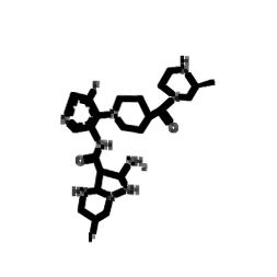 C[C@H]1CN(C(=O)C2CCN(c3c(F)cncc3NC(=O)C3C(N)NN4CC(F)CNC34)CC2)CCN1